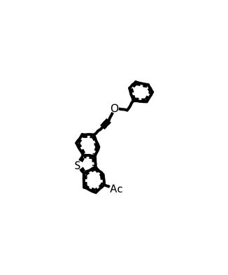 CC(=O)c1ccc2sc3ccc(C#COCc4ccccc4)cc3c2c1